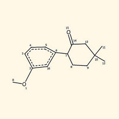 COc1cccc(C2CCC(C)(C)CC2=O)c1